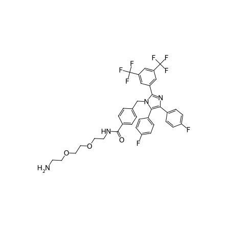 NCCOCCOCCNC(=O)c1ccc(Cn2c(-c3cc(C(F)(F)F)cc(C(F)(F)F)c3)nc(-c3ccc(F)cc3)c2-c2ccc(F)cc2)cc1